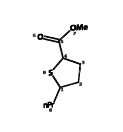 CCCC1CCC(C(=O)OC)S1